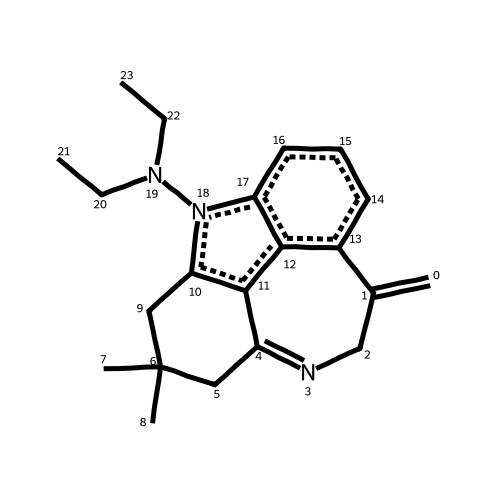 C=C1CN=C2CC(C)(C)Cc3c2c2c1cccc2n3N(CC)CC